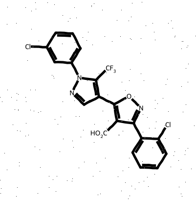 O=C(O)c1c(-c2ccccc2Cl)noc1-c1cnn(-c2cccc(Cl)c2)c1C(F)(F)F